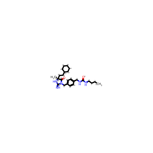 CCCCNC(=O)NCc1ccc(CN2C(=N)N[C@](C)(CCC3CCCCC3)C2=O)cc1